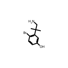 CC(C)(CN)c1cc(O)ccc1Br